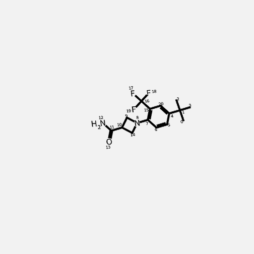 CC(C)(C)c1ccc(N2CC(C(N)=O)C2)c(C(F)(F)F)c1